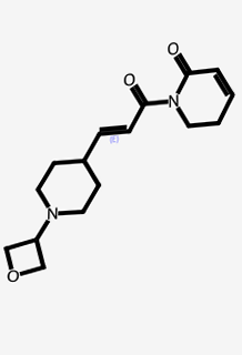 O=C1C=CCCN1C(=O)/C=C/C1CCN(C2COC2)CC1